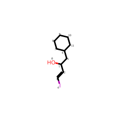 OC(C=CI)CC1CCCCC1